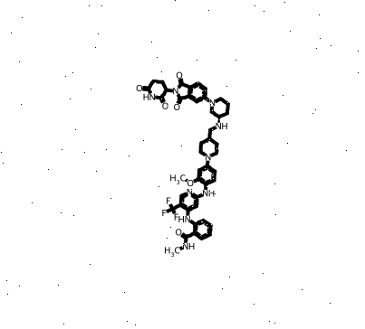 CNC(=O)c1ccccc1Nc1cc(Nc2ccc(N3CCC(CN[C@@H]4CCCN(c5ccc6c(c5)C(=O)N(C5CCC(=O)NC5=O)C6=O)C4)CC3)cc2OC)ncc1C(F)(F)F